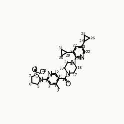 Cc1cc(N2CCCS2(=O)=O)ncc1C(=O)N1CCN(c2ncc(C3CC3)cc2C2CC2)CC1